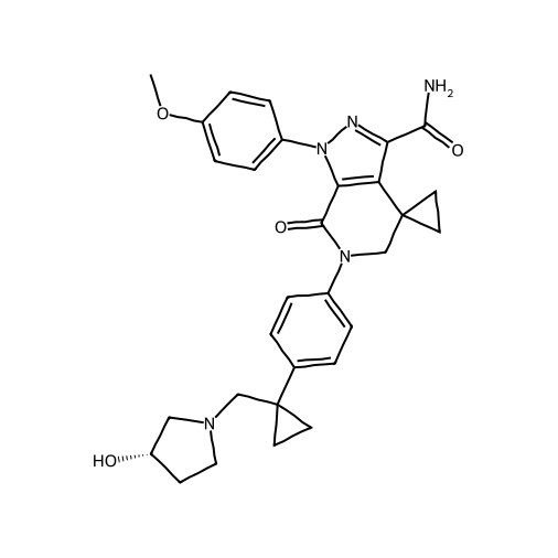 COc1ccc(-n2nc(C(N)=O)c3c2C(=O)N(c2ccc(C4(CN5CC[C@H](O)C5)CC4)cc2)CC32CC2)cc1